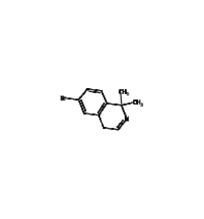 CC1(C)N=CCc2cc(Br)ccc21